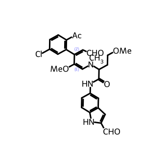 COCCC(C(=O)Nc1ccc2[nH]c(C=O)cc2c1)N(C)/C=C(OC)\C(=C/C=O)c1cc(Cl)ccc1C(C)=O